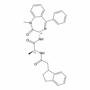 C[C@H](NC(=O)CC1CCc2ccccc21)C(=O)N[C@H]1N=C(c2ccccc2)c2ccccc2N(C)C1=O